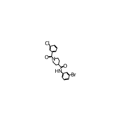 O=C(Nc1cccc(Br)c1)C1CCN(C(=O)c2cccc(Cl)c2)CC1